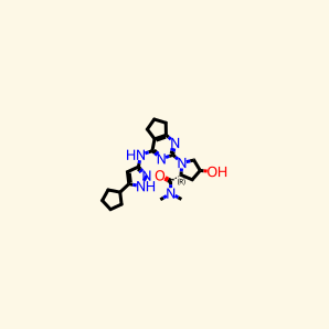 CN(C)C(=O)[C@H]1CC(O)CN1c1nc2c(c(Nc3cc(C4CCCC4)[nH]n3)n1)CCC2